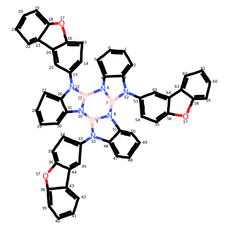 c1ccc2c(c1)N1B(N3B(N4B1N(c1ccc5oc6ccccc6c5c1)c1ccccc14)N(c1ccc4oc5ccccc5c4c1)c1ccccc13)N2c1ccc2oc3ccccc3c2c1